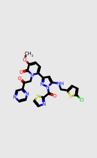 COc1ccc(-c2cc(NCc3ccc(Cl)s3)n(C(=O)c3nccs3)n2)n(CC(=O)c2cnccn2)c1=O